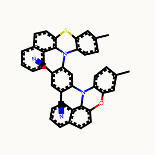 Cc1ccc2c(c1)Oc1ccc3ccccc3c1N2c1cc(N2c3ccc(C)cc3Sc3ccc4ccccc4c32)c(C#N)cc1C#N